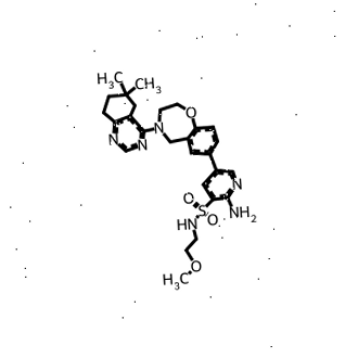 COCCNS(=O)(=O)c1cc(-c2ccc3c(c2)CN(c2ncnc4c2CC(C)(C)CC4)CCO3)cnc1N